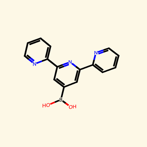 OB(O)c1cc(-c2ccccn2)nc(-c2ccccn2)c1